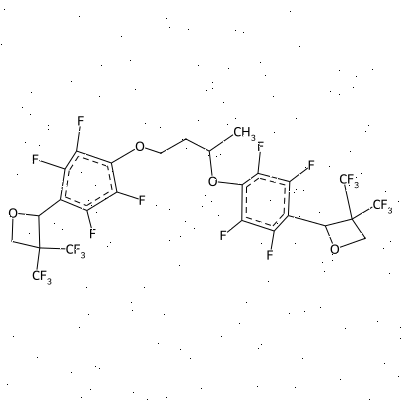 CC(CCOc1c(F)c(F)c(C2OCC2(C(F)(F)F)C(F)(F)F)c(F)c1F)Oc1c(F)c(F)c(C2OCC2(C(F)(F)F)C(F)(F)F)c(F)c1F